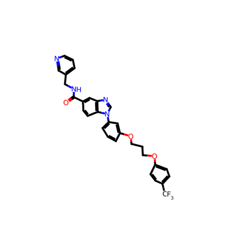 O=C(NCc1cccnc1)c1ccc2c(c1)ncn2-c1cccc(OCCCOc2ccc(C(F)(F)F)cc2)c1